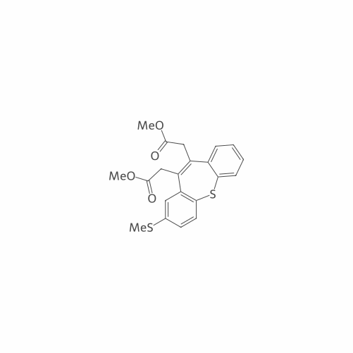 COC(=O)CC1=C(CC(=O)OC)c2cc(SC)ccc2Sc2ccccc21